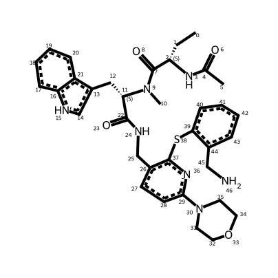 CC[C@H](NC(C)=O)C(=O)N(C)[C@@H](Cc1c[nH]c2ccccc12)C(=O)NCc1ccc(N2CCOCC2)nc1Sc1ccccc1CN